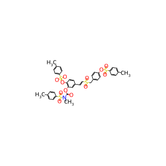 Cc1ccc(S(=O)(=O)Oc2ccc(CS(=O)(=O)/C=C/c3ccc(OS(=O)(=O)c4ccc(C)cc4)c(OC(=O)N(C)S(=O)(=O)c4ccc(C)cc4)c3)cc2)cc1